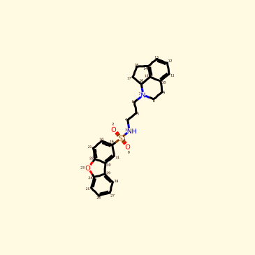 O=S(=O)(NCCCN1CCc2cccc3c2C1CC3)c1ccc2oc3ccccc3c2c1